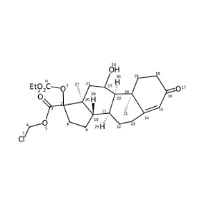 CCOC(=O)OC1(C(=O)OCCl)CC[C@H]2[C@@H]3CCC4=CC(=O)CC[C@]4(C)[C@@H]3C(O)C[C@@]21C